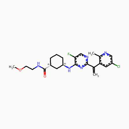 C=C(c1ncc(F)c(N[C@@H]2CCC[C@@H](C(=O)NCCOC)C2)n1)c1cc(Cl)cnc1C